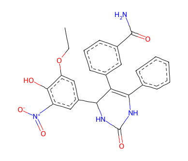 CCOc1cc(C2NC(=O)NC(c3ccccc3)=C2c2cccc(C(N)=O)c2)cc([N+](=O)[O-])c1O